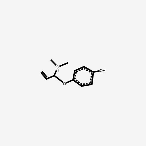 C=CC(Oc1ccc(O)cc1)[SiH](C)C